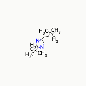 CC(C)(C)CCc1cnc(C(C)(C)C)cn1